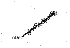 CCCCCCCCCCCCCCCCCC(=O)NCCOCCOCC(=O)NCCOCCOCC(=O)NCCOCCOCC(=O)NCC